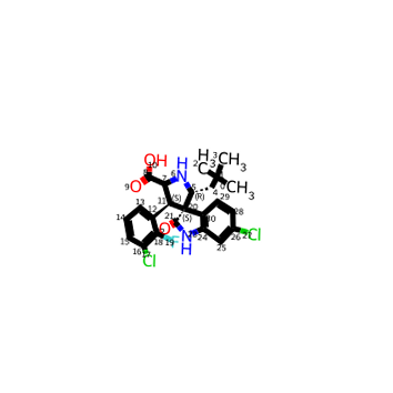 CC(C)(C)C[C@H]1NC(C(=O)O)[C@H](c2cccc(Cl)c2F)[C@@]12C(=O)Nc1cc(Cl)ccc12